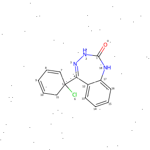 O=C1NN=C(C2(Cl)C=CC=CC2)c2ccccc2N1